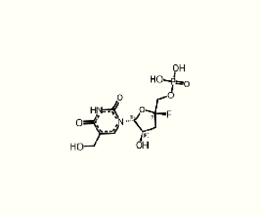 O=c1[nH]c(=O)n([C@@H]2O[C@](F)(COP(=O)(O)O)C[C@H]2O)cc1CO